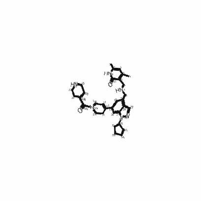 Cc1cc(C)c(CNCc2cc(C3=CCN(C(=O)C4CCNCC4)CC3)cc3c2cnn3C2CCCC2)c(=O)[nH]1